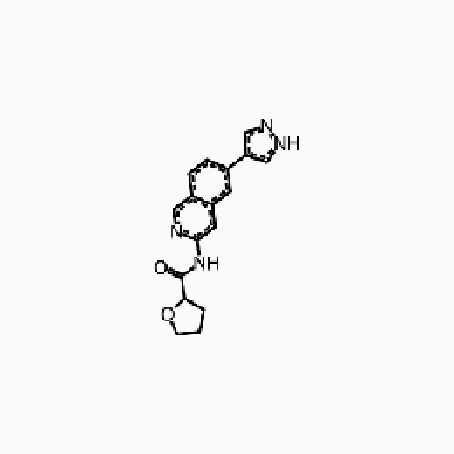 O=C(Nc1cc2cc(-c3cn[nH]c3)ccc2cn1)C1CCCO1